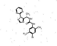 Cc1cc(NC(=O)N[C@@H](C)c2ncnn2-c2ncccn2)c(C)cc1Br